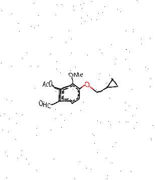 COc1c(OCC2CC2)ccc(C=O)c1OC(C)=O